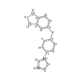 c1cn(-c2ccc(Cc3ccc4c(c3)OCO4)cc2)cn1